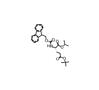 CC(C)OC(=O)[C@H](CCC(=O)OC(C)(C)C)NC(=O)OCC1c2ccccc2-c2ccccc21